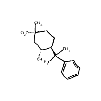 CC(C)(c1ccccc1)[C@@H]1CC[C@@](C)(C(Cl)(Cl)Cl)C[C@H]1O